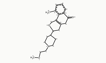 COCCN1CCC(C2CC3=C(CO2)c2c(C)cccc2C(=O)C3)CC1